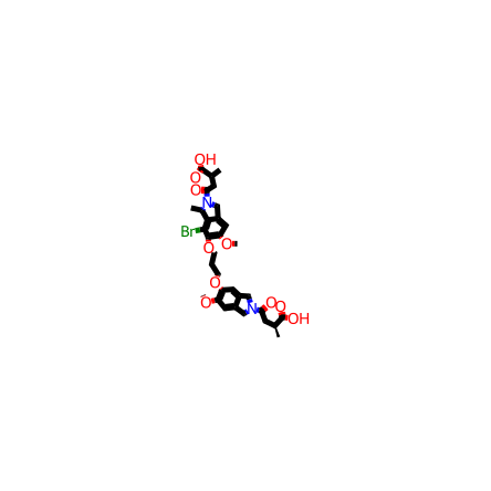 COc1cc2c(cc1OCCCOc1c(OC)cc3c(c1Br)C(C)N(C(=O)CC(C)C(=O)O)C3)CN(C(=O)C[C@H](C)C(=O)O)C2